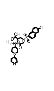 CN(C1CCN(c2ccncc2)CC1)N1C(=O)CN(S(=O)(=O)c2ccc3cc(Cl)ccc3c2)CC1C(=O)O